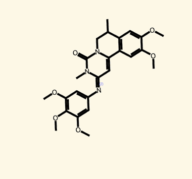 COc1cc2c(cc1OC)C(C)Cn1c-2c/c(=N/c2cc(OC)c(OC)c(OC)c2)n(C)c1=O